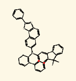 CC1(C)c2ccccc2-c2cc(N(C3=C(c4ccccc4)C=CCC3)c3ccc4c(ccc5nc(-c6ccccc6)oc54)c3)ccc21